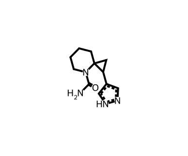 NC(=O)N1CCCCC12CC2c1cn[nH]c1